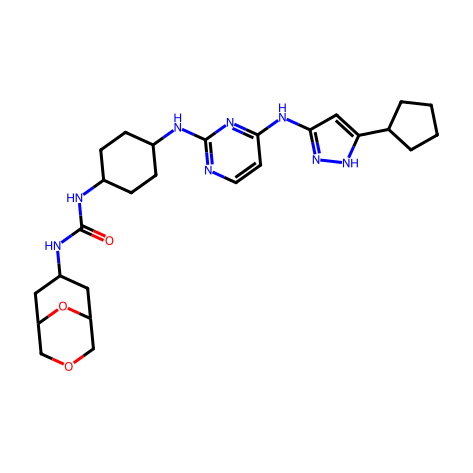 O=C(NC1CCC(Nc2nccc(Nc3cc(C4CCCC4)[nH]n3)n2)CC1)NC1CC2COCC(C1)O2